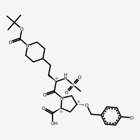 CC(C)(C)OC(=O)N1CCC(CC[C@@H](NS(C)(=O)=O)C(=O)N2C[C@H](OCc3ccc(Cl)cc3)C[C@H]2C(=O)O)CC1